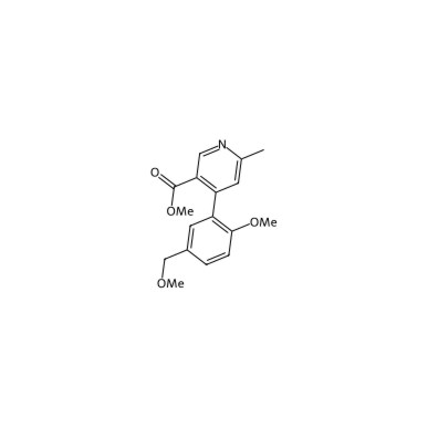 COCc1ccc(OC)c(-c2cc(C)ncc2C(=O)OC)c1